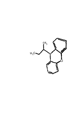 CCC(C)B1c2ccccc2Oc2ccccc21